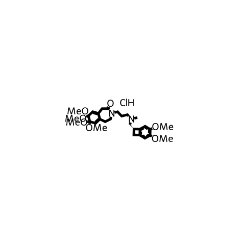 COc1cc2c(cc1OC)[C@@H](CN(C)CCCN1CCC3=CC(OC)(OC)C(OC)(OC)C=C3CC1=O)C2.Cl